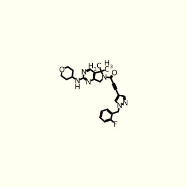 CC1(C)c2cnc(NC3CCOCC3)nc2CN1C(=O)C#Cc1cnn(Cc2ccccc2F)c1